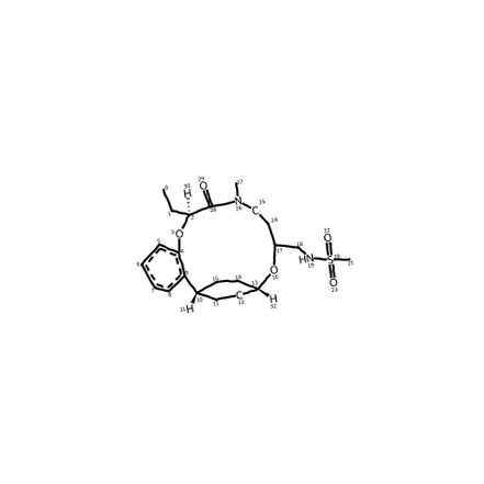 CC[C@@H]1Oc2ccccc2[C@H]2CC[C@H](CC2)OC(CNS(C)(=O)=O)CCN(C)C1=O